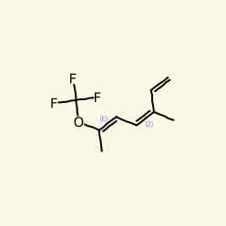 C=C/C(C)=C\C=C(/C)OC(F)(F)F